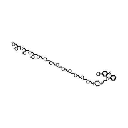 COCC(COCC(COCC(COCCOCCOCCOCCOCCOCCOCCOCCOCCN1CCN(CCCN2c3ccccc3Sc3ccc(Cl)cc32)CC1)OC)OC)OC